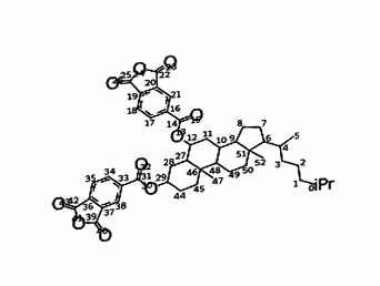 CC(C)CCCC(C)C1CCC2C3CC(OC(=O)c4ccc5c(c4)C(=O)OC5=O)C4CC(OC(=O)c5ccc6c(c5)C(=O)OC6=O)CCC4(C)C3CCC12C